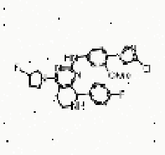 COc1cc(Nc2nc3c(c(N4CCC(F)C4)n2)CCNC3c2ccc(F)cc2)ccc1-n1cnc(Cl)c1